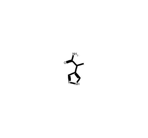 CC(C(N)=O)c1cn[nH]c1